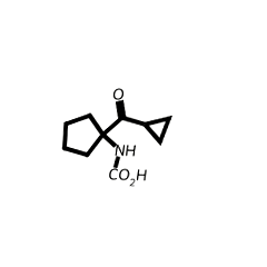 O=C(O)NC1(C(=O)C2CC2)CCCC1